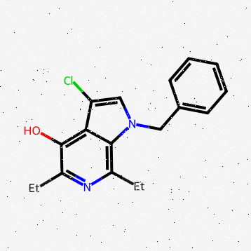 [CH2]Cc1nc(CC)c2c(c(Cl)cn2Cc2ccccc2)c1O